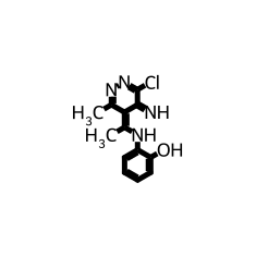 CC1=NN=C(Cl)C(=N)/C1=C(/C)Nc1ccccc1O